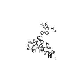 CC(C)CC(=O)OCOC(=O)c1sc2cccc(Cl)c2c1COc1c(F)cc(C(N)=O)cc1F